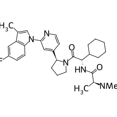 CN[C@@H](C)C(=O)N[C@H](C(=O)N1CCC[C@H]1c1ccnc(-n2cc(C)c3cc(F)ccc32)c1)C1CCCCC1